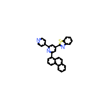 c1ccc2c(c1)ccc1c(-c3cc(-c4nc5ccccc5s4)cc(-c4ccncc4)n3)cccc12